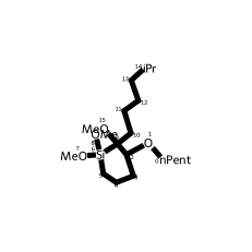 CCCCCOC1CCC[Si](OC)(OC)C1(CCCCC(C)C)OC